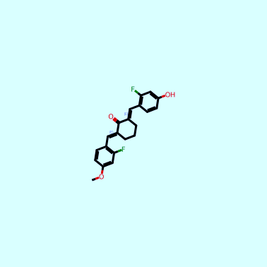 COc1ccc(/C=C2\CCC/C(=C\c3ccc(O)cc3F)C2=O)c(F)c1